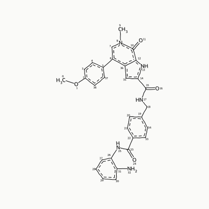 COc1ccc(-c2cn(C)c(=O)c3[nH]c(C(=O)NCc4ccc(C(=O)Nc5ccccc5N)cc4)cc23)cc1